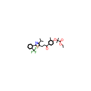 CCOC(=O)C(C)(C)Oc1ccc(C(=O)CCc2sc(-c3ccccc3C(F)(F)F)nc2C(C)C)cc1C